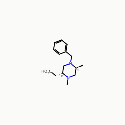 C[C@H]1CN(C)[C@H](CC(=O)O)CN1Cc1ccccc1